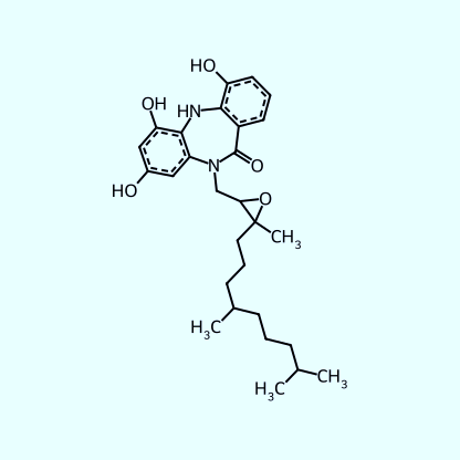 CC(C)CCCC(C)CCCC1(C)OC1CN1C(=O)c2cccc(O)c2Nc2c(O)cc(O)cc21